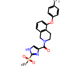 CCCS(=O)(=O)c1nc(C(=O)N2CCc3c(cccc3Oc3ccc(C(F)(F)F)cc3)C2)c[nH]1